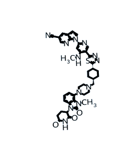 CNc1cc(-n2ccc3cc(C#N)cnc32)ncc1-c1nnc([C@H]2CC[C@H](CN3CCN(c4cccc5c4n(C)c(=O)n5C4CCC(=O)NC4=O)CC3)CC2)s1